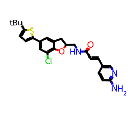 CC(C)(C)c1ccc(-c2cc(Cl)c3c(c2)CC(CNC(=O)/C=C/c2ccc(N)nc2)O3)s1